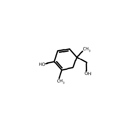 CC1=C(O)C=CC(C)(CO)C1